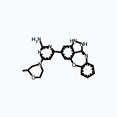 CC1CN(c2cc(-c3cc4c5c(c3)Oc3ccccc3N=C5NN4)nc(N)n2)CCO1